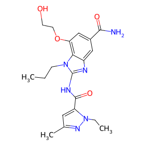 CCCn1c(NC(=O)c2cc(C)nn2CC)nc2cc(C(N)=O)cc(OCCO)c21